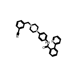 N#Cc1cccc(CN2CCN(c3ccc(NC(=O)c4ccccc4-c4ccccn4)cc3)CC2)c1